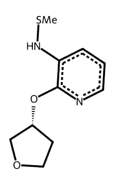 CSNc1cccnc1O[C@@H]1CCOC1